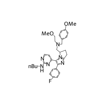 CCCCNc1nccc(-c2c(-c3ccc(F)cc3)nc3n2C(CN(CCOC)Cc2ccc(OC)cc2)CC3)n1